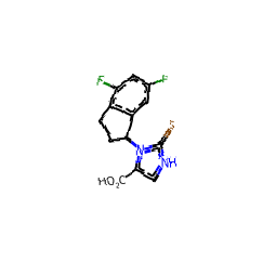 O=C(O)c1c[nH]c(=S)n1C1CCc2c(F)cc(F)cc21